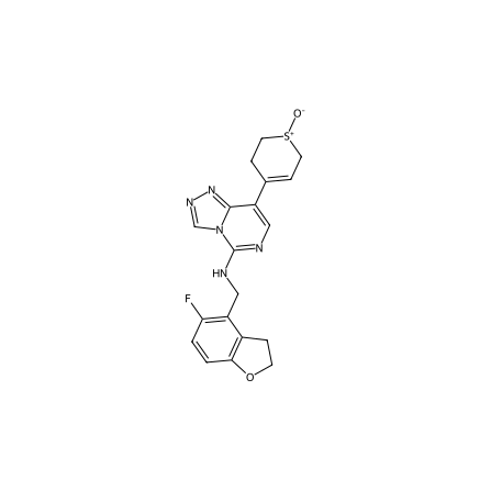 [O-][S+]1CC=C(c2cnc(NCc3c(F)ccc4c3CCO4)n3cnnc23)CC1